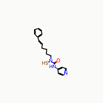 O=C(Nc1ccncc1)N(S)CCCC/C=C/c1ccccc1